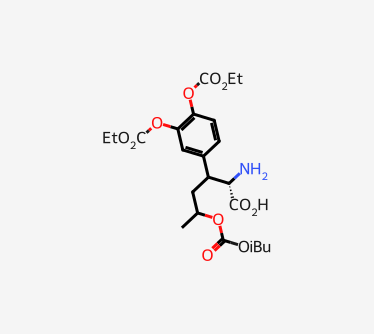 CCOC(=O)Oc1ccc(C(CC(C)OC(=O)OCC(C)C)[C@H](N)C(=O)O)cc1OC(=O)OCC